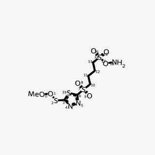 COOSc1nnc(S(=O)(=O)CCCCS(=O)(=O)ON)s1